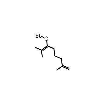 C=C(C)CCCC(OCC)=C(C)C